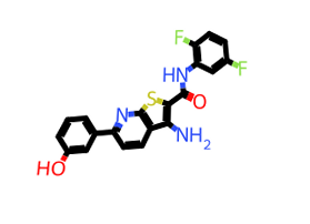 Nc1c(C(=O)Nc2cc(F)ccc2F)sc2nc(-c3cccc(O)c3)ccc12